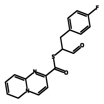 O=CC(Cc1ccc(F)cc1)SC(=O)C1=NC2=CC=CCN2C=C1